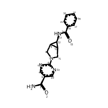 NC(=O)c1cnc(N2CC3C(C2)C3NC(=O)c2ccccc2)nc1